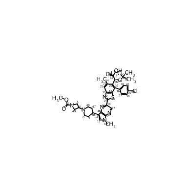 COC(=O)N1CC(N2CCC(c3cn(C)c4ncc(-c5nc6cc(C)c([C@H](OC(C)(C)C)C(=O)O)c(-c7ccc(Cl)cc7)c6s5)nc34)CC2)C1